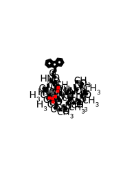 CN(CC(N)=O)C(=O)CN(C)C(=O)CN(C)C(=O)CN(C)C(=O)CN(C)C(=O)CN(C)C(=O)CN(C)C(=O)CN(C)C(=O)CN(C)C(=O)CN(C)C(=O)CN(C)C(=O)CN(C)C(=O)CC[C@H](NC(=O)OCC1c2ccccc2-c2ccccc21)C(=O)OC(C)(C)C